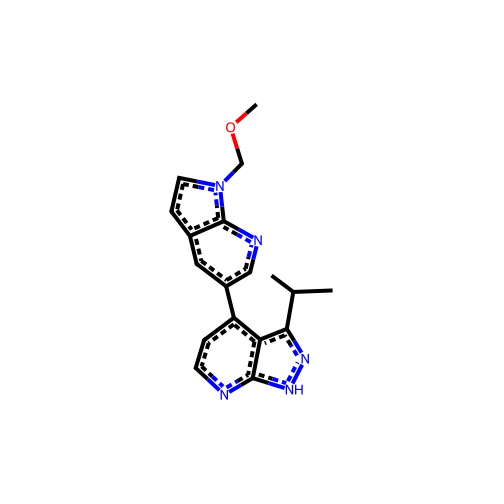 COCn1ccc2cc(-c3ccnc4[nH]nc(C(C)C)c34)cnc21